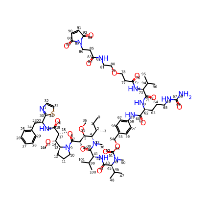 CC[C@H](C)[C@@H]([C@@H](CC(=O)N1CCC[C@H]1[C@H](OC)[C@@H](C)C(=O)N[C@@H](Cc1ccccc1)c1nccs1)OC)N(C)C(=O)[C@@H](NC(=O)[C@H](C(C)C)N(C)C(=O)OCc1ccc(NC(=O)[C@H](CCCNC(N)=O)NC(=O)[C@@H](NC(=O)CCOCCNC(=O)CCN2C(=O)C=CC2=O)C(C)C)cc1)C(C)C